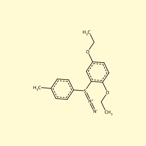 CCOc1ccc(OCC)c(S(=[N+]=[N-])c2ccc(C)cc2)c1